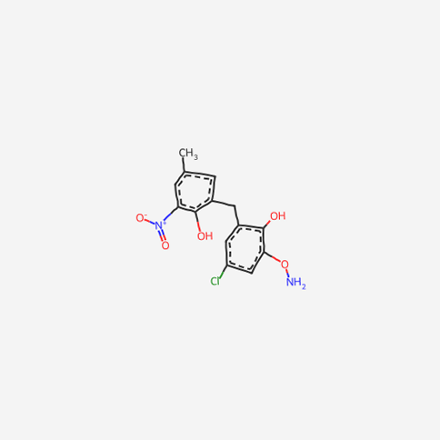 Cc1cc(Cc2cc(Cl)cc(ON)c2O)c(O)c([N+](=O)[O-])c1